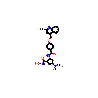 Cc1cc(COc2ccc(C(=O)N[C@@H]3CC(N(C)C)C[C@H]3C(=O)NO)cc2)c2ccccc2n1